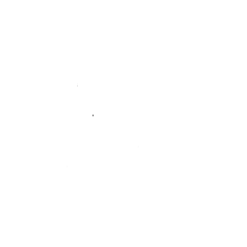 Cl.O=C(O)[C@@H]1CCCN(CCCN2c3ccccc3OCOc3ccc(Cl)cc32)C1